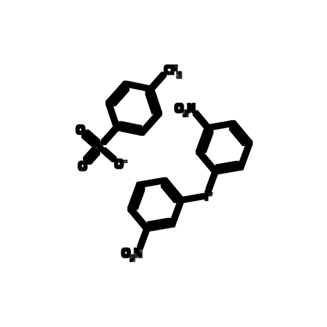 O=S(=O)([O-])c1ccc(C(F)(F)F)cc1.O=[N+]([O-])c1cccc([I+]c2cccc([N+](=O)[O-])c2)c1